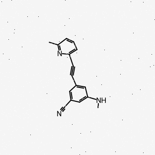 CNc1cc(C#N)cc(C#Cc2cccc(C)n2)c1